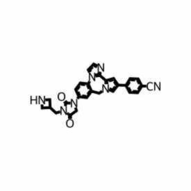 N#Cc1ccc(-c2cc3n(c2)Cc2cc(N4CC(=O)N(CC5CNC5)C4=O)ccc2-n2ccnc2-3)cc1